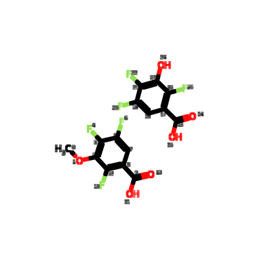 COc1c(F)c(F)cc(C(=O)O)c1F.O=C(O)c1cc(F)c(F)c(O)c1F